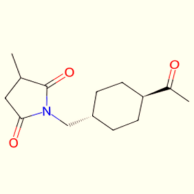 CC(=O)[C@H]1CC[C@H](CN2C(=O)CC(C)C2=O)CC1